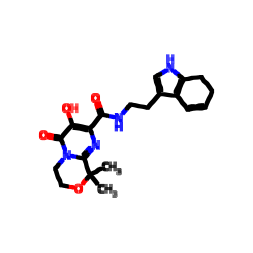 CC1(C)OCCn2c1nc(C(=O)NCCc1c[nH]c3c1C=CCC3)c(O)c2=O